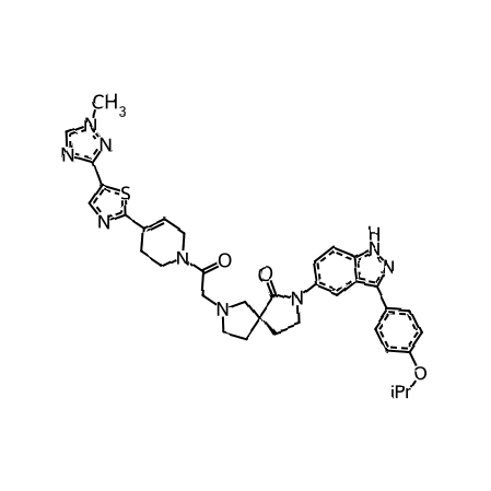 CC(C)Oc1ccc(-c2n[nH]c3ccc(N4CC[C@]5(CCN(CC(=O)N6CC=C(c7ncc(-c8ncn(C)n8)s7)CC6)C5)C4=O)cc23)cc1